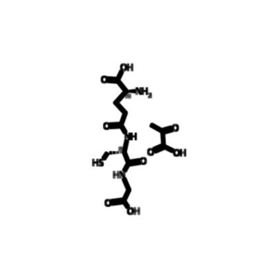 CC(=O)C(=O)O.N[C@@H](CCC(=O)N[C@@H](CS)C(=O)NCC(=O)O)C(=O)O